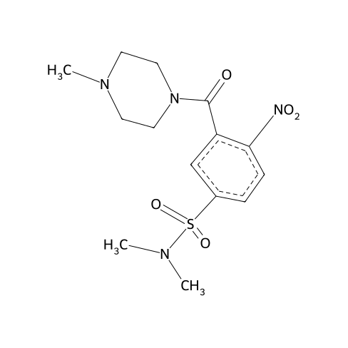 CN1CCN(C(=O)c2cc(S(=O)(=O)N(C)C)ccc2[N+](=O)[O-])CC1